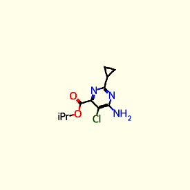 CC(C)OC(=O)c1nc(C2CC2)nc(N)c1Cl